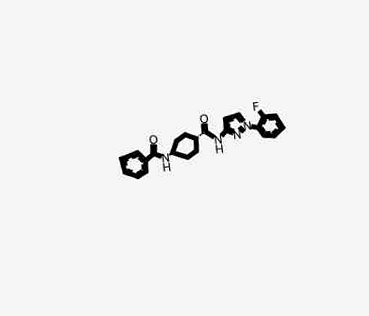 O=C(N[C@H]1CC[C@@H](C(=O)Nc2ccn(-c3ccccc3F)n2)CC1)c1ccccc1